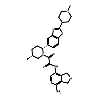 C[C@H]1CC[C@H](c2ccc3sc(C4CCN(C)CC4)nc3c2)N(C(=O)C(=O)Nc2cnc(N)c3c2COC3)C1